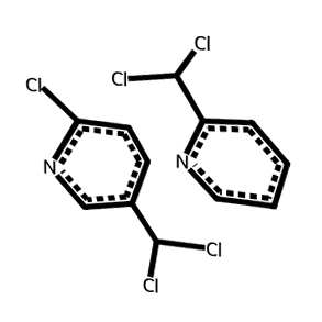 ClC(Cl)c1ccccn1.Clc1ccc(C(Cl)Cl)cn1